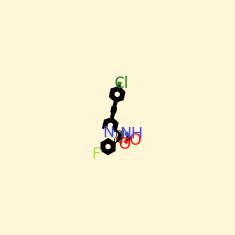 O=C1N[C@H](c2cc(C#Cc3ccc(Cl)cc3)ccn2)[C@@H](c2ccc(F)cc2)O1